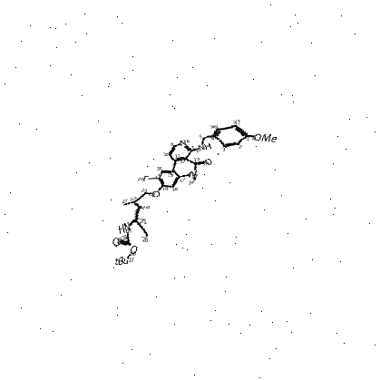 COc1ccc(CNc2nccc3c2c(=O)n(C)c2cc(OCC(C)CC(C)NC(=O)OC(C)(C)C)c(F)cc32)cc1